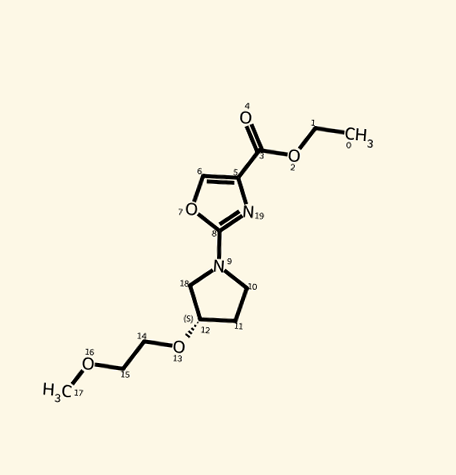 CCOC(=O)c1coc(N2CC[C@H](OCCOC)C2)n1